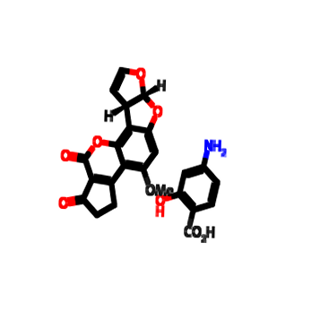 COc1cc2c(c3oc(=O)c4c(c13)CCC4=O)[C@@H]1C=CO[C@@H]1O2.Nc1ccc(C(=O)O)c(O)c1